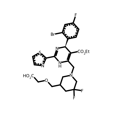 CCOC(=O)C1=C(CN2CC(COCC(=O)O)CC(F)(F)C2)NC(c2nccs2)=N[C@H]1c1ccc(F)cc1Br